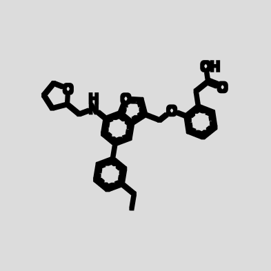 CCc1cccc(-c2cc(NCC3CCCO3)c3occ(COc4ccccc4CC(=O)O)c3c2)c1